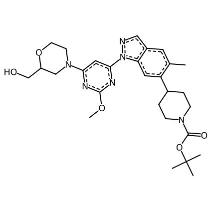 COc1nc(N2CCOC(CO)C2)cc(-n2ncc3cc(C)c(C4CCN(C(=O)OC(C)(C)C)CC4)cc32)n1